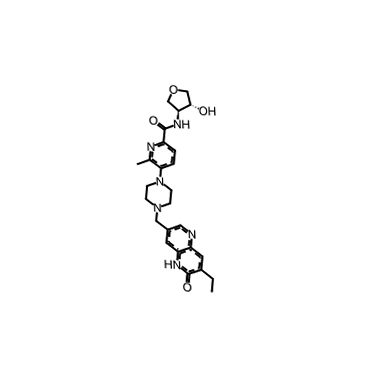 CCc1cc2ncc(CN3CCN(c4ccc(C(=O)N[C@H]5COC[C@@H]5O)nc4C)CC3)cc2[nH]c1=O